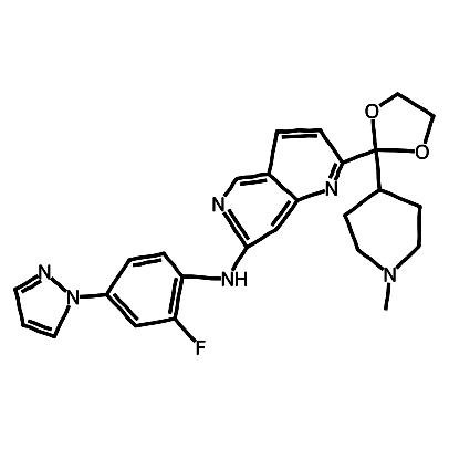 CN1CCC(C2(c3ccc4cnc(Nc5ccc(-n6cccn6)cc5F)cc4n3)OCCO2)CC1